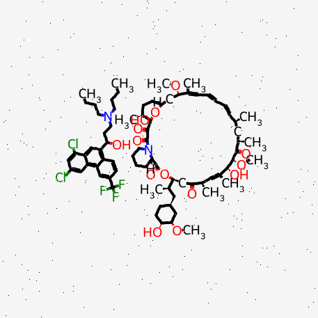 CCCCN(CCCC)CCC(O)c1cc2c(Cl)cc(Cl)cc2c2cc(C(F)(F)F)ccc12.CO[C@H]1C[C@@H]2CC[C@@H](C)[C@@](O)(O2)C(=O)C(=O)N2CCCC[C@H]2C(=O)O[C@H]([C@H](C)C[C@@H]2CC[C@@H](O)[C@H](OC)C2)CC(=O)[C@H](C)/C=C(\C)[C@@H](O)[C@@H](OC)C(=O)[C@H](C)C[C@H](C)/C=C/C=C/C=C/1C